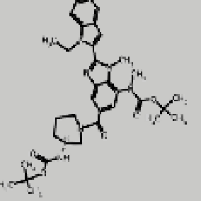 CCn1c(-c2nc3cc(C(=O)N4CCC[C@@H](NC(=O)OC(C)(C)C)C4)cc(N(C)C(=O)OC(C)(C)C)c3n2C)cc2ccccc21